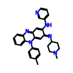 Cc1ccc(-n2c3c/c(=N\C4CCN(C)CC4)c(Nc4cccnc4)cc-3nc3ccccc32)cc1